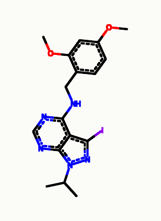 COc1ccc(CNc2ncnc3c2c(I)nn3C(C)C)c(OC)c1